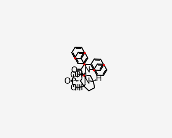 O=C(C(c1ccccc1)c1ccccc1)N1C[C@@H]2CC[C@H]([C@H]1P(=O)(O)O)N2C(=O)N(c1ccccc1)c1ccccc1